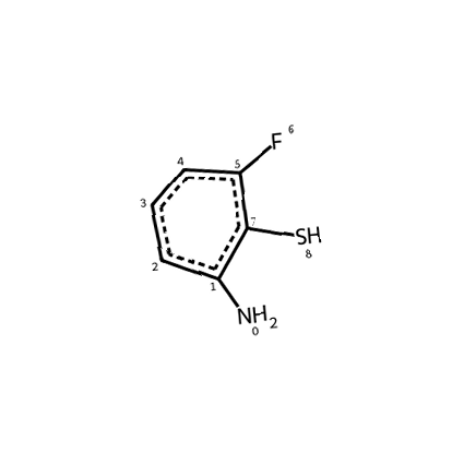 Nc1cccc(F)c1S